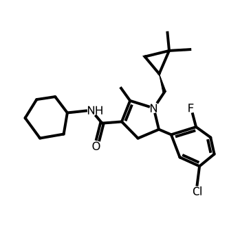 CC1=C(C(=O)NC2CCCCC2)CC(c2cc(Cl)ccc2F)N1C[C@H]1CC1(C)C